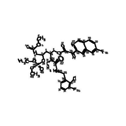 CO[PH](=O)CC(C[C@@H](COC(=O)Nc1cc2cc(F)ccc2cn1)N(C)C(=O)NCc1cccc(F)c1Cl)OP(=O)(OC)OC